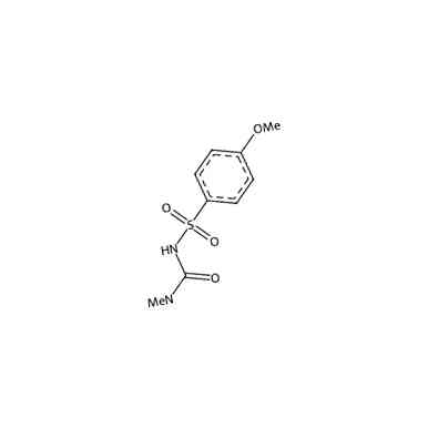 CNC(=O)NS(=O)(=O)c1ccc(OC)cc1